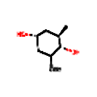 CO[C@H]1C[C@H](O)C[C@@H](C)[C@@H]1O